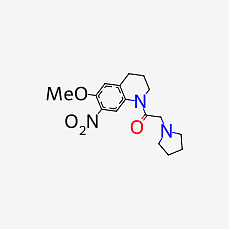 COc1cc2c(cc1[N+](=O)[O-])N(C(=O)CN1CCCC1)CCC2